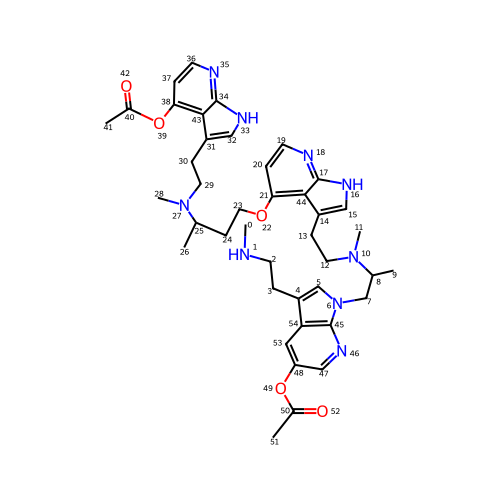 CNCCc1cn(CC(C)N(C)CCc2c[nH]c3nccc(OCCC(C)N(C)CCc4c[nH]c5nccc(OC(C)=O)c45)c23)c2ncc(OC(C)=O)cc12